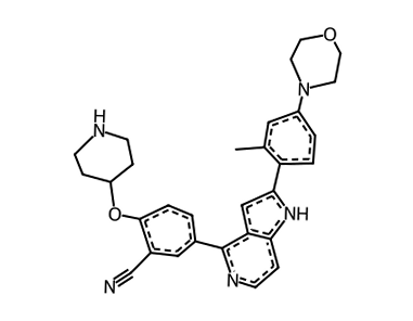 Cc1cc(N2CCOCC2)ccc1-c1cc2c(-c3ccc(OC4CCNCC4)c(C#N)c3)nccc2[nH]1